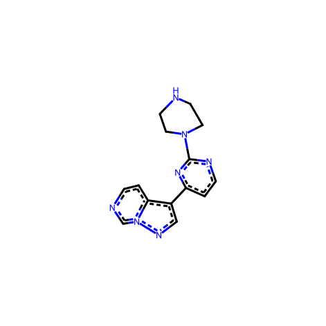 c1cc2c(-c3ccnc(N4CCNCC4)n3)cnn2cn1